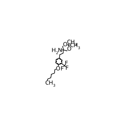 CCCCCCOc1ccc(CCC2(N)COC(C)(C)OC2)cc1C(F)(F)F